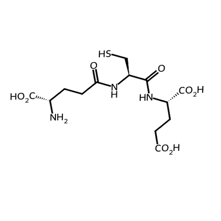 N[C@@H](CCC(=O)N[C@@H](CS)C(=O)N[C@@H](CCC(=O)O)C(=O)O)C(=O)O